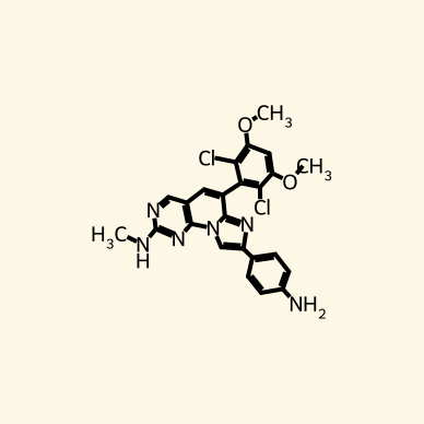 CNc1ncc2cc(-c3c(Cl)c(OC)cc(OC)c3Cl)c3nc(-c4ccc(N)cc4)cn3c2n1